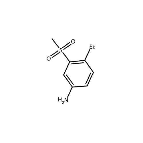 CCc1ccc(N)cc1S(C)(=O)=O